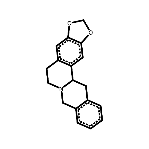 c1ccc2c(c1)CC1c3cc4c(cc3CCN1C2)OCO4